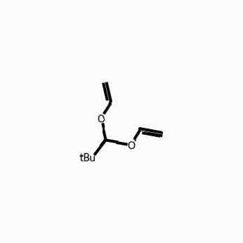 C=COC(OC=C)C(C)(C)C